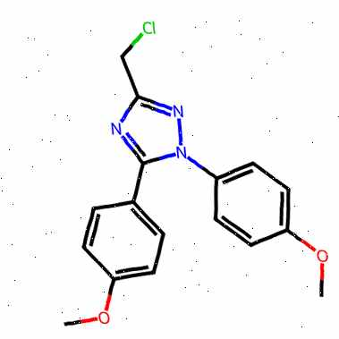 COc1ccc(-c2nc(CCl)nn2-c2ccc(OC)cc2)cc1